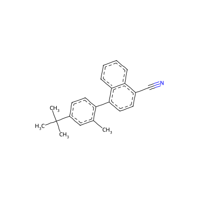 Cc1cc(C(C)(C)C)ccc1-c1ccc(C#N)c2ccccc12